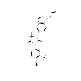 C=CCn1ncc2cc(N3C(=S)N(c4ccc(C#N)c(C(F)(F)F)c4)C(=O)C3(C)C)ccc21